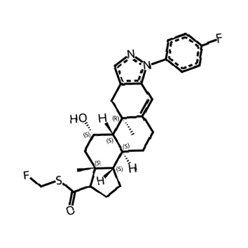 C[C@@]12C[C@H](O)[C@H]3[C@@H](CCC4=Cc5c(cnn5-c5ccc(F)cc5)C[C@@]43C)[C@@H]1CC[C]2C(=O)SCF